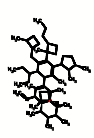 C=NC1C(C)=C(C2C(C)=C(C3CC[C@@H](C)C3C)C(C3(C)CCC3CCC)=C(CC3CCC3C)[C@@H]2C(CC)CC)C(C)[C@H](C)[C@@H]1C(C)C(C)C(C)C(C)C1CCC1C